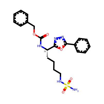 NS(=O)(=O)NCCCC[C@H](NC(=O)OCc1ccccc1)c1nnc(-c2ccccc2)o1